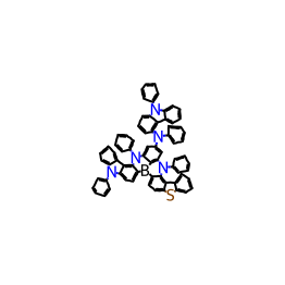 c1ccc(N2c3cc(N(c4ccccc4)c4cccc5c4c4ccccc4n5-c4ccccc4)cc4c3B(c3ccc5sc6ccccc6c5c32)c2ccc3c(c2N4c2ccccc2)c2ccccc2n3-c2ccccc2)cc1